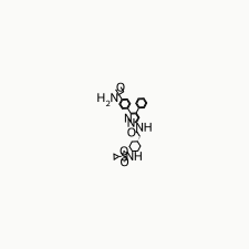 NC1(c2ccc(-c3nnc(NC(=O)C[C@H]4CC[C@H](NS(=O)(=O)C5CC5)CC4)cc3-c3ccccc3)cc2)COC1